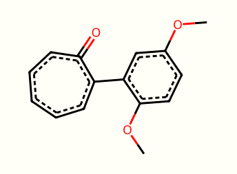 COc1ccc(OC)c(-c2cccccc2=O)c1